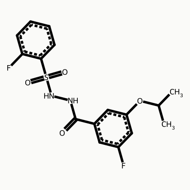 CC(C)Oc1cc(F)cc(C(=O)NNS(=O)(=O)c2ccccc2F)c1